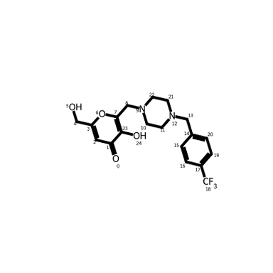 O=c1cc(CO)oc(CN2CCN(Cc3ccc(C(F)(F)F)cc3)CC2)c1O